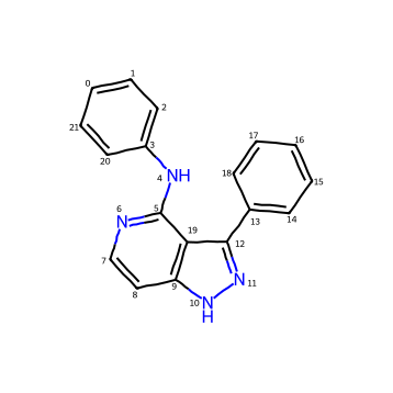 c1ccc(Nc2nccc3[nH]nc(-c4ccccc4)c23)cc1